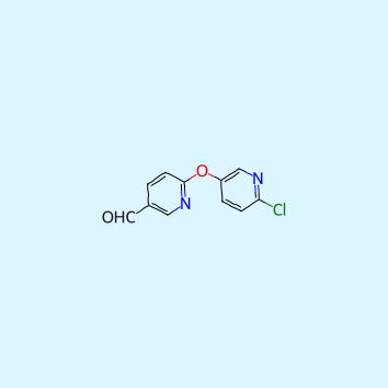 O=Cc1ccc(Oc2ccc(Cl)nc2)nc1